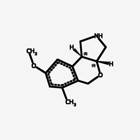 COc1cc(C)c2c(c1)[C@H]1CNC[C@@H]1OC2